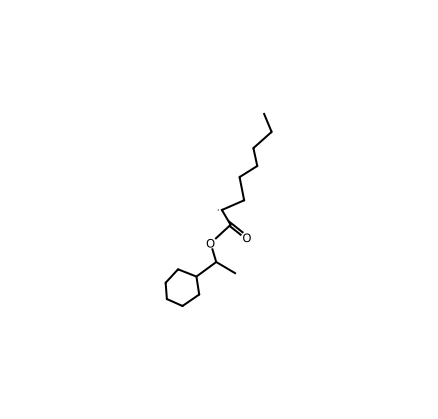 CCCCCC[CH]C(=O)OC(C)C1CCCCC1